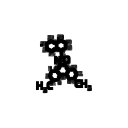 Cc1ccc2c(c1)c1cc(C)ccc1c1oc(-c3cccc4ccccc34)nc21